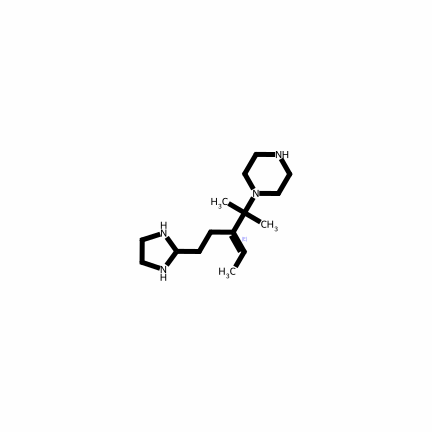 C/C=C(\CCC1NCCN1)C(C)(C)N1CCNCC1